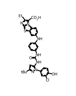 CCc1nc2sc3cc(Nc4cccc(NC(=O)Nc5cc(C(C)(C)C)nn5-c5ccc(O)c(Cl)c5)c4)ccc3n2c1C(=O)O